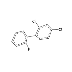 Fc1ccccc1-c1[c]cc(Cl)cc1Cl